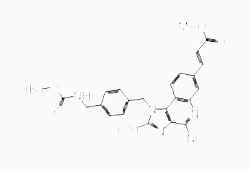 CCCCc1nc2c(N)nc3cc(/C=C/C(=O)OC)ccc3c2n1Cc1ccc(CNC(=O)OC(C)(C)C)cc1